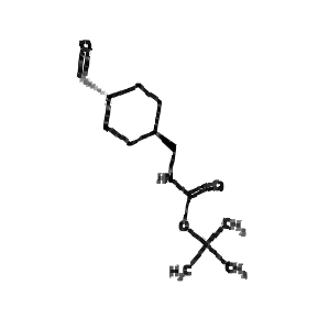 CC(C)(C)OC(=O)NC[C@H]1CC[C@H](C=O)CC1